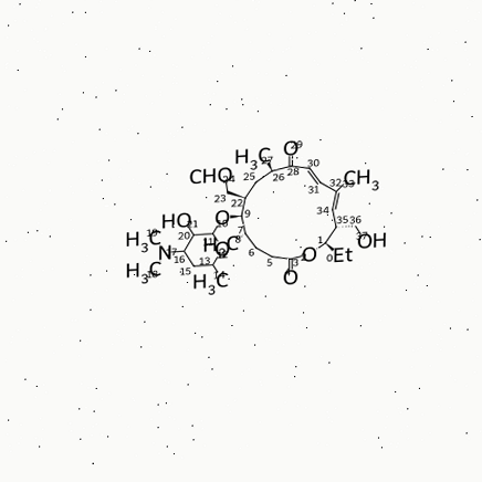 CC[C@H]1OC(=O)CC[C@H](C)[C@@H](OC2OC(C)CC(N(C)C)C2O)[C@@H](CC=O)C[C@@H](C)C(=O)/C=C/C(C)=C/[C@@H]1CO